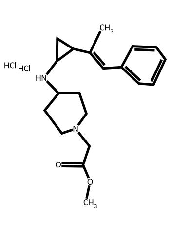 COC(=O)CN1CCC(NC2CC2C(C)=Cc2ccccc2)CC1.Cl.Cl